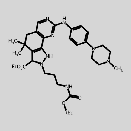 CCOC(=O)C1C2=C(NN1CCCNC(=O)OC(C)(C)C)c1nc(Nc3ccc(N4CCN(C)CC4)cc3)ncc1CC2(C)C